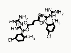 Cc1ccc(Cl)cc1N(OC(=O)/C=C/C(=O)ON(C(=N)NC(=N)N)c1cc(Cl)ccc1C)C(=N)NC(=N)N